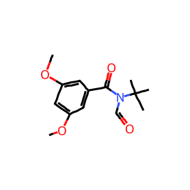 COc1cc(OC)cc(C(=O)N(C=O)C(C)(C)C)c1